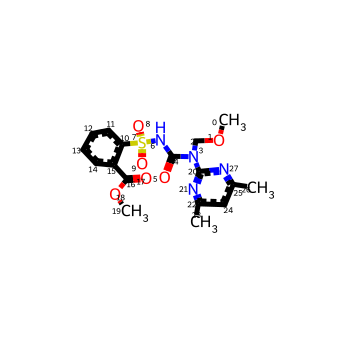 COCN(C(=O)NS(=O)(=O)c1ccccc1C(=O)OC)c1nc(C)cc(C)n1